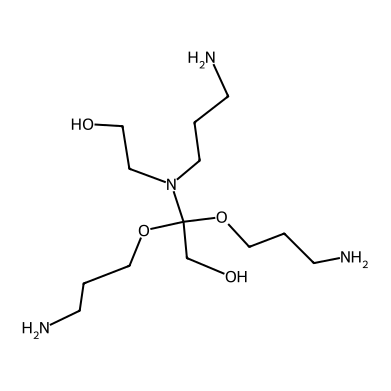 NCCCOC(CO)(OCCCN)N(CCO)CCCN